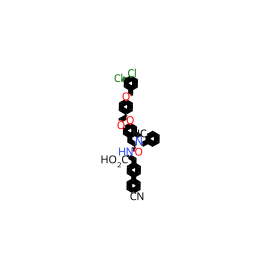 N#Cc1ccc(-c2ccc(CC(NC(=O)[C@@H]3Cc4cc5c(cc4CN3Cc3ccccc3C#N)O[C@@H](c3ccc(OCc4ccc(Cl)c(Cl)c4)cc3)CO5)C(=O)O)cc2)cc1